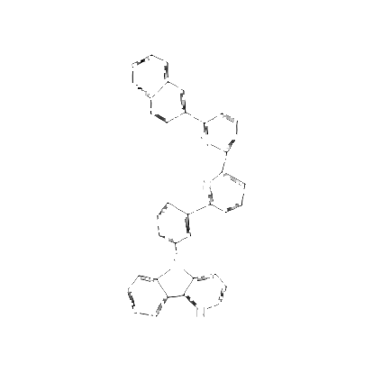 c1cc(-c2cccc(-c3cccc(-c4ccc5ccccc5c4)n3)n2)cc(-n2c3ccccc3c3ncccc32)c1